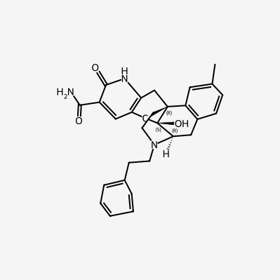 Cc1ccc2c(c1)[C@]13CCN(CCc4ccccc4)[C@H](C2)[C@]1(O)Cc1cc(C(N)=O)c(=O)[nH]c1C3